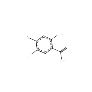 COC(=S)c1cc(C)c(N)cc1OC